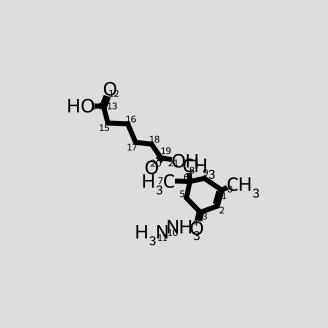 CC1=CC(=O)CC(C)(C)C1.N.N.O=C(O)CCCCC(=O)O